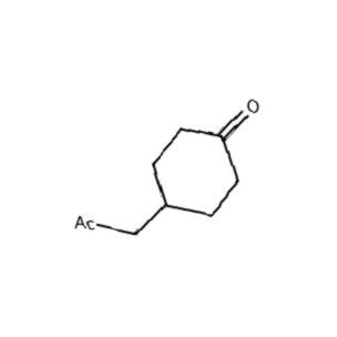 CC(=O)CC1CCC(=O)CC1